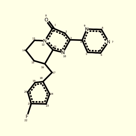 O=c1cc(-c2ccncn2)nc2n1CCCC2Cc1ccc(F)cc1